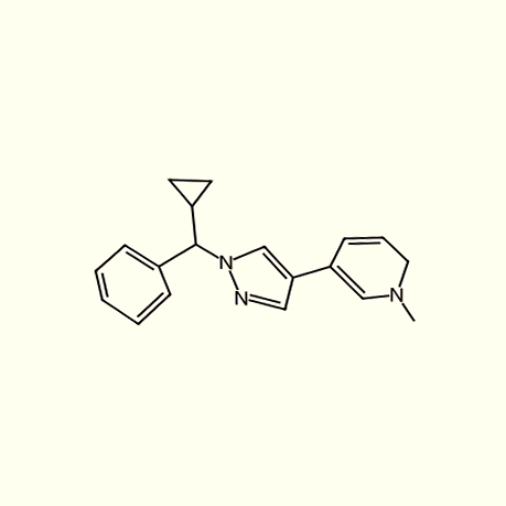 CN1C=C(c2cnn(C(c3ccccc3)C3CC3)c2)C=CC1